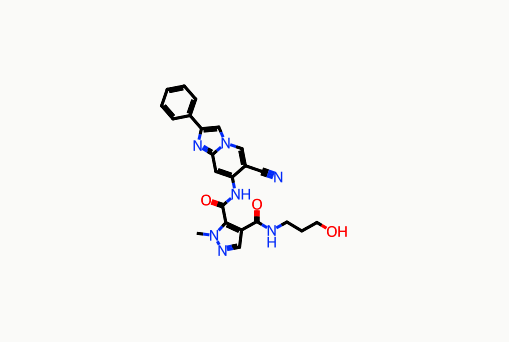 Cn1ncc(C(=O)NCCCO)c1C(=O)Nc1cc2nc(-c3ccccc3)cn2cc1C#N